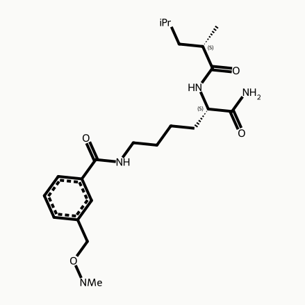 CNOCc1cccc(C(=O)NCCCC[C@H](NC(=O)[C@@H](C)CC(C)C)C(N)=O)c1